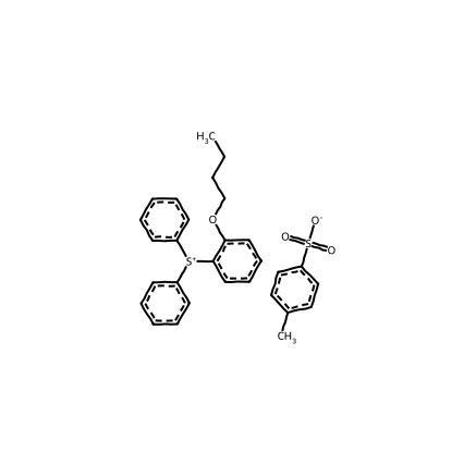 CCCCOc1ccccc1[S+](c1ccccc1)c1ccccc1.Cc1ccc(S(=O)(=O)[O-])cc1